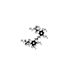 Cc1cc(C)c(SSSSc2cc(OC(=O)N(C)C)c(C)cc2C)cc1OC(=O)N(C)C